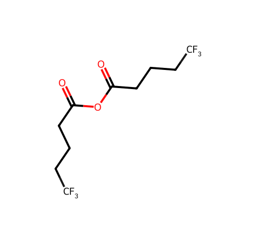 O=C(CCCC(F)(F)F)OC(=O)CCCC(F)(F)F